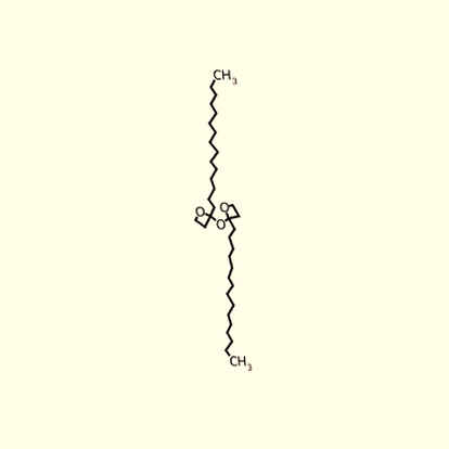 CCCCCCCCCCCCCCCC1(OC2(CCCCCCCCCCCCCCC)CCO2)CCO1